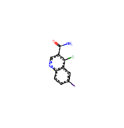 NC(=O)c1cnc2ccc(I)cc2c1Cl